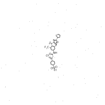 CCS(=O)(=O)c1ccc(N(CC(=O)Nc2cc(F)c(C3(c4noc(-c5cccs5)n4)CC3)c(C(F)(F)F)c2)CC(F)(F)F)cc1